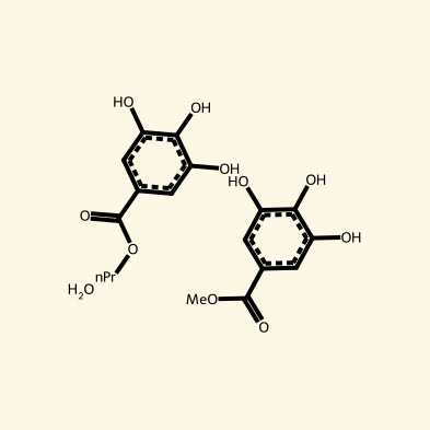 CCCOC(=O)c1cc(O)c(O)c(O)c1.COC(=O)c1cc(O)c(O)c(O)c1.O